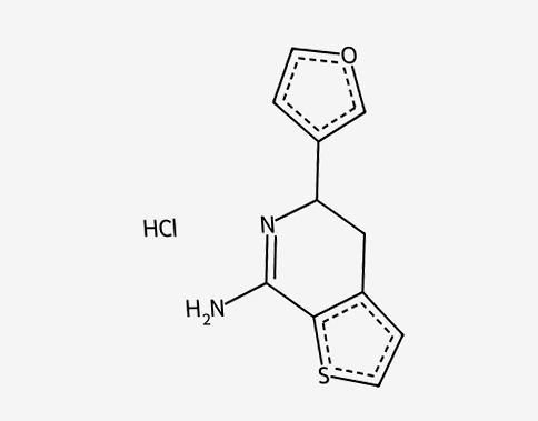 Cl.NC1=NC(c2ccoc2)Cc2ccsc21